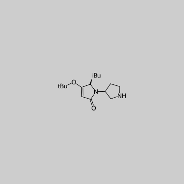 CC[C@H](C)C1C(OC(C)(C)C)=CC(=O)N1C1CCNC1